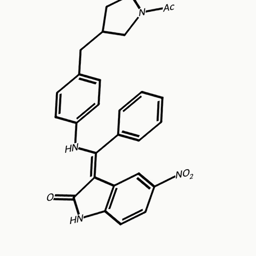 CC(=O)N1CCC(Cc2ccc(N/C(=C3\C(=O)Nc4ccc([N+](=O)[O-])cc43)c3ccccc3)cc2)C1